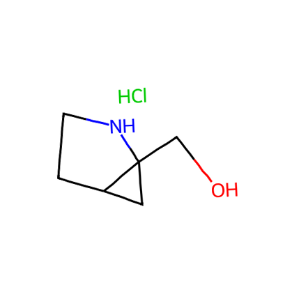 Cl.OCC12CC1CCN2